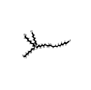 CCCCCCCCCCCCCCCCCC[PH](CCCCCCCC)(CCCCCCCC)CCCCCCCC